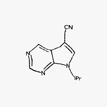 CC(C)n1cc(C#N)c2cncnc21